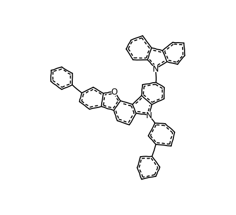 c1ccc(-c2cccc(-n3c4ccc(-n5c6ccccc6c6ccccc65)cc4c4c5oc6cc(-c7ccccc7)ccc6c5ccc43)c2)cc1